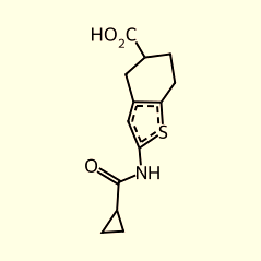 O=C(O)C1CCc2sc(NC(=O)C3CC3)cc2C1